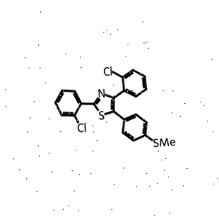 CSc1ccc(-c2sc(-c3ccccc3Cl)nc2-c2ccccc2Cl)cc1